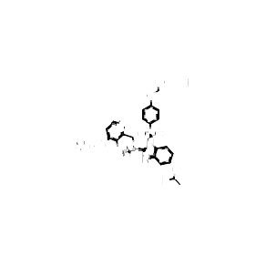 COc1ccnc(C[S+]([O-])c2nc3cc(OC(C)F)ccc3n2S(=O)(=O)c2ccc(OCC(=O)O)cc2)c1OC